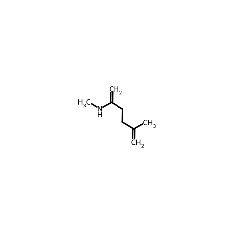 C=C(C)CCC(=C)NC